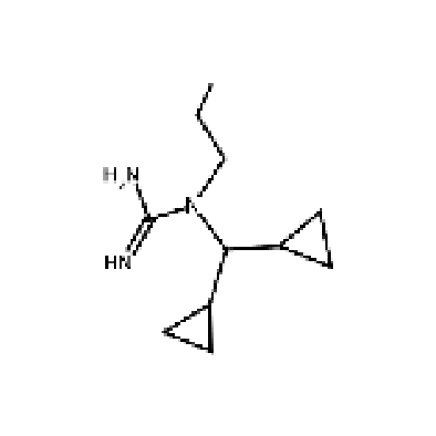 CCCN(C(=N)N)C(C1CC1)C1CC1